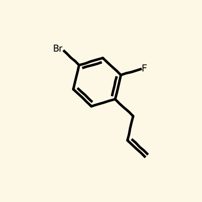 C=CCc1ccc(Br)cc1F